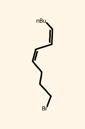 CCCC/C=C\C=C/CCCBr